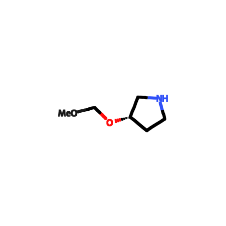 COCO[C@H]1CCNC1